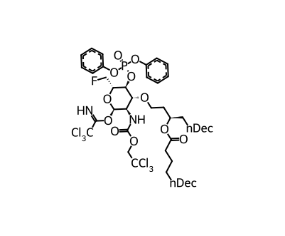 CCCCCCCCCCCCCC(=O)O[C@H](CCCCCCCCCCC)CCO[C@@H]1[C@@H](NC(=O)OCC(Cl)(Cl)Cl)[C@@H](OC(=N)C(Cl)(Cl)Cl)O[C@H](CF)[C@H]1OP(=O)(Oc1ccccc1)Oc1ccccc1